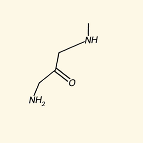 CNCC(=O)CN